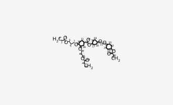 C=CC(=O)OCCCOc1ccc(C(=O)Oc2ccc(OCOc3ccc(OC(=O)C=C)cc3)cc2)cc1OCCCOC(=O)C=C